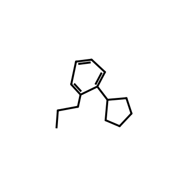 CCCc1ccccc1C1CCCC1